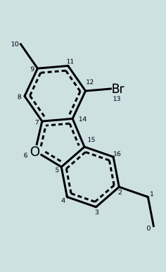 CCc1ccc2oc3cc(C)cc(Br)c3c2c1